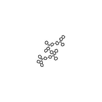 c1ccc(N(c2ccc(-c3ccc(N(c4ccccc4)c4cc(-c5ccc6c(N(c7ccccc7)c7ccc(-c8ccc(N(c9ccccc9)c9cc%10ccccc%10c%10ccccc9%10)cc8)cc7)cc7ccccc7c6c5)c5ccccc5c4)cc3)cc2)c2ccc3ccccc3c2)cc1